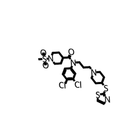 CS(=O)(=O)N1CCC(C(=O)N(CCCN2CCC(Sc3nccs3)CC2)c2ccc(Cl)c(Cl)c2)CC1